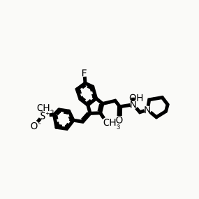 CC1=C(CC(=O)N(O)CN2CCCCC2)c2cc(F)ccc2/C1=C\c1ccc([S+](C)[O-])cc1